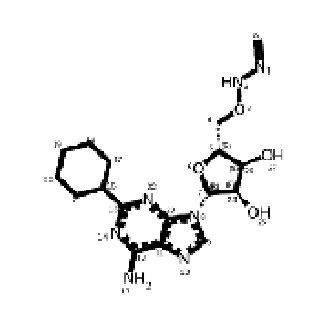 C=NNOC[C@H]1O[C@@H](n2cnc3c(N)nc(C4CCCCC4)nc32)[C@H](O)[C@@H]1O